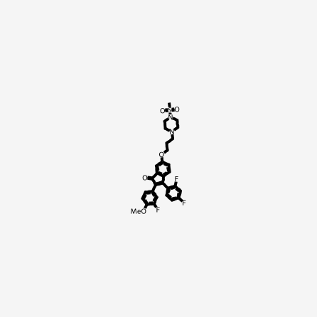 COc1ccc(C2=C(c3ccc(F)cc3F)c3ccc(OCCCN4CCN(S(C)(=O)=O)CC4)cc3C2=O)cc1F